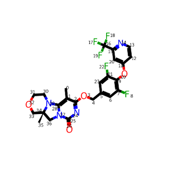 Cc1c(OCc2cc(F)c(Oc3ccnc(C(F)(F)F)c3)c(F)c2)nc(=O)n2c1N1CCOC[C@@]1(C)C2